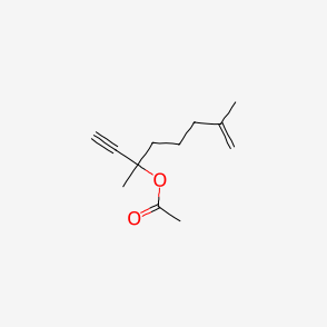 C#CC(C)(CCCC(=C)C)OC(C)=O